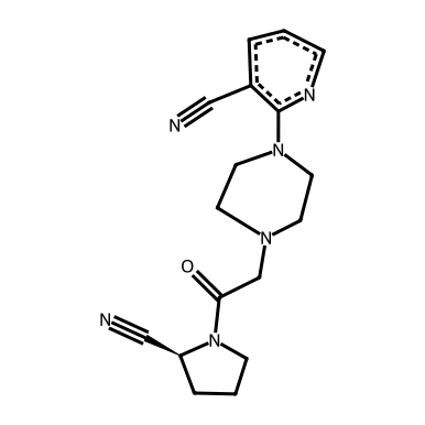 N#Cc1cccnc1N1CCN(CC(=O)N2CCC[C@H]2C#N)CC1